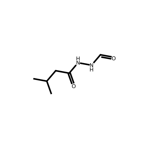 CC(C)CC(=O)NNC=O